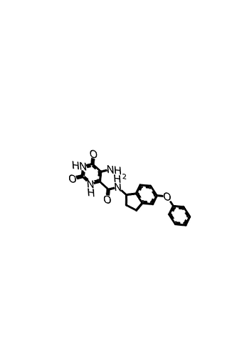 Nc1c(C(=O)NC2CCc3cc(Oc4ccccc4)ccc32)[nH]c(=O)[nH]c1=O